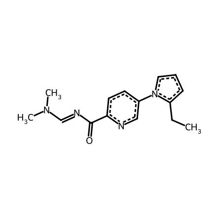 CCc1cccn1-c1ccc(C(=O)N=CN(C)C)nc1